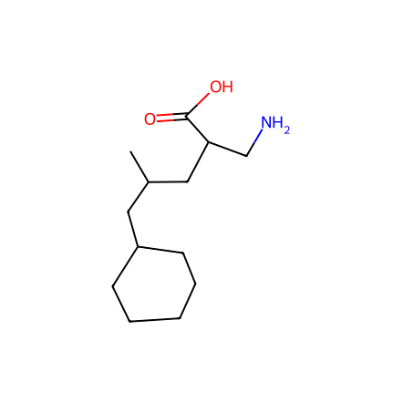 CC(CC1CCCCC1)CC(CN)C(=O)O